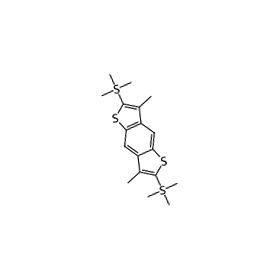 Cc1c(S(C)(C)C)sc2cc3c(C)c(S(C)(C)C)sc3cc12